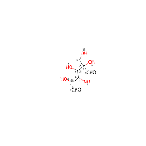 O=C[C@H](O)[C@@H](O)[C@H](O)[C@@](O)(C=O)CO